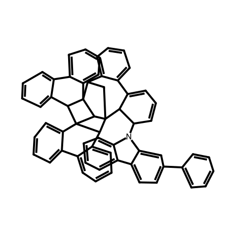 C1=CC(n2c3ccccc3c3ccc(-c4ccccc4)cc32)C2C(=C1)c1ccccc1C1CC23C2c4ccccc4-c4ccccc4C24C2c5ccccc5-c5ccccc5C12C34